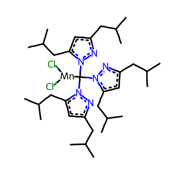 CC(C)Cc1cc(CC(C)C)n([C](n2nc(CC(C)C)cc2CC(C)C)(n2nc(CC(C)C)cc2CC(C)C)[Mn]([Cl])[Cl])n1